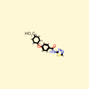 O=C(Nc1nncs1)c1ccc(OC2CCC(C(=O)O)CC2)cc1